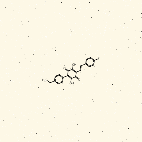 CCc1ccc(C2=C(O)C(=O)C(/C=C/c3ccc(F)cc3)=C(O)C2=O)cc1